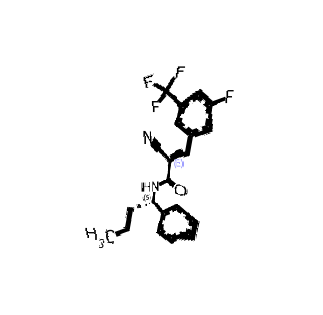 CCC[C@H](NC(=O)/C(C#N)=C/c1cc(F)cc(C(F)(F)F)c1)c1ccccc1